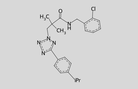 CC(C)c1ccc(-c2nnn(CC(C)(C)C(=O)NCc3ccccc3Cl)n2)cc1